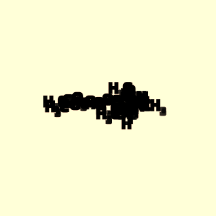 COc1nn(CCOCCOCCOCCOCCNC(=O)OCC[Si](C)(C)C)cc1Nc1nc(N2C[C@@H](F)[C@H](NC(=O)OC(C)(C)C)C2)nc2c1ncn2C